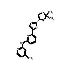 Cc1ccnc(Nc2cccc(-c3cnc([C@@H]4COC(C)(C)O4)s3)n2)c1